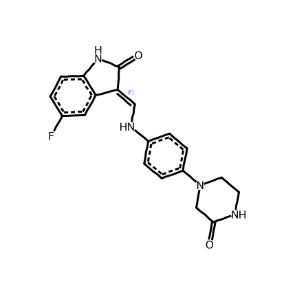 O=C1CN(c2ccc(N/C=C3/C(=O)Nc4ccc(F)cc43)cc2)CCN1